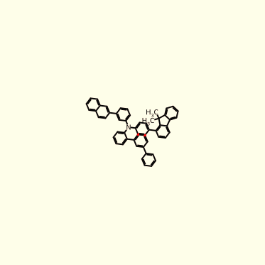 CC1(C)c2ccccc2-c2cccc(-c3ccc(N(c4cccc(-c5ccc6ccccc6c5)c4)c4ccccc4-c4cccc(-c5ccccc5)c4)cc3)c21